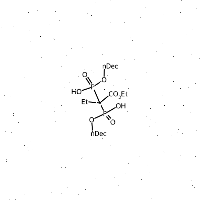 CCCCCCCCCCOP(=O)(O)C(CC)(C(=O)OCC)P(=O)(O)OCCCCCCCCCC